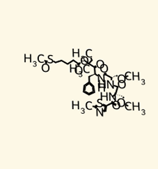 CC[C@@](C)(OC(=O)CCCCSC(C)=O)C(=O)[C@H](Cc1ccccc1)NC(=O)[C@H](COC)NC(=O)[C@H](COC)NC(=O)c1cnc(C)s1